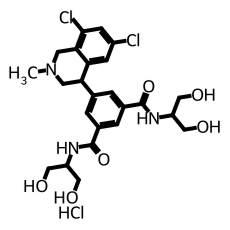 CN1Cc2c(Cl)cc(Cl)cc2C(c2cc(C(=O)NC(CO)CO)cc(C(=O)NC(CO)CO)c2)C1.Cl